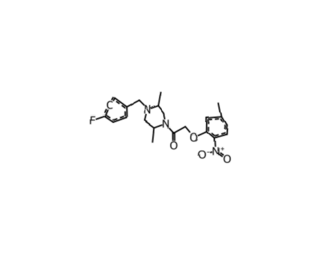 Cc1ccc([N+](=O)[O-])c(OCC(=O)N2CC(C)N(Cc3ccc(F)cc3)CC2C)c1